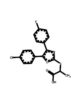 CC(Sc1nc(-c2ccc(F)cc2)c(-c2ccc(Cl)cc2)o1)C(=O)O